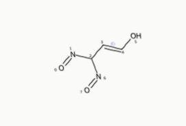 O=NC(/C=C/O)N=O